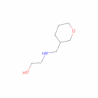 OCCNCC1CCCOC1